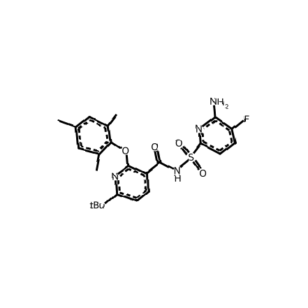 Cc1cc(C)c(Oc2nc(C(C)(C)C)ccc2C(=O)NS(=O)(=O)c2ccc(F)c(N)n2)c(C)c1